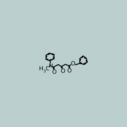 CN(C(=O)CC(=O)CC(=O)OCc1ccccc1)c1ccccc1